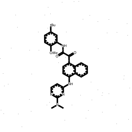 COc1ccc(C(C)(C)C)cc1NC(=O)C(=O)c1ccc(Nc2ccnc(N(C)C)n2)c2ccccc12